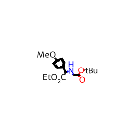 CCOC(=O)C(NCC(=O)OC(C)(C)C)c1ccc(OC)cc1